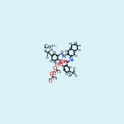 CC(=O)[O-].CC(=O)[O-].CC(C)(C)c1ccc(O)c(C=Nc2cc3ccccc3cc2N=Cc2cc(C(C)(C)C)ccc2O)c1.[Co+2]